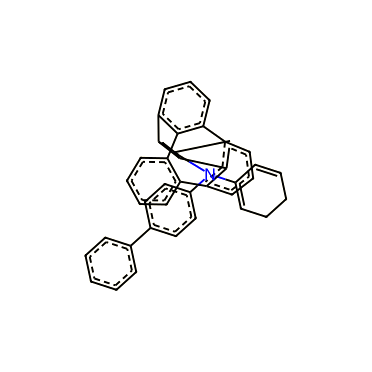 CC1(N(C2=CCCC=C2)c2ccc(-c3ccccc3)cc2)CCCC2c3cccc4c3-c3ccccc3-c3cccc-4c3C21